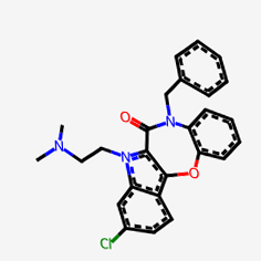 CN(C)CCn1c2c(c3ccc(Cl)cc31)Oc1ccccc1N(Cc1ccccc1)C2=O